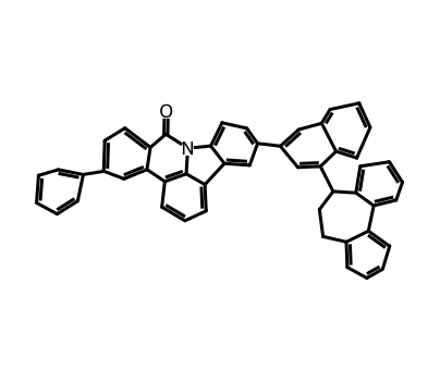 O=c1c2ccc(-c3ccccc3)cc2c2cccc3c4cc(-c5cc(C6CCc7ccccc7-c7ccccc76)c6ccccc6c5)ccc4n1c23